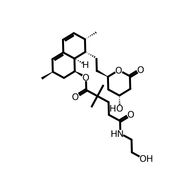 C[C@H]1C=C2C=C[C@H](C)[C@H](CC[C@@H]3C[C@@H](O)CC(=O)O3)[C@H]2[C@@H](OC(=O)C(C)(C)CCC(=O)NCCO)C1